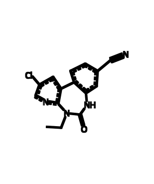 CCN1C(=O)Nc2cc(C#N)ccc2-c2cc(Cl)cnc21